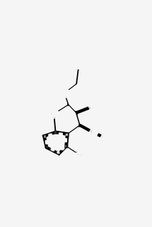 CCOC1Oc2cccc(Br)c2C(=C=O)C1=O